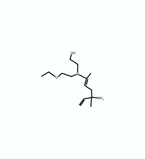 C=CC(C)(N)C/C=C(\C)N(CCO)CCOCC